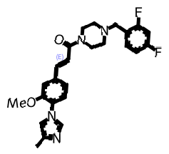 COc1cc(/C=C/C(=O)N2CCN(Cc3ccc(F)cc3F)CC2)ccc1-n1cnc(C)c1